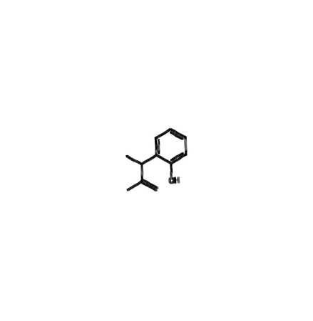 C=C(C)C(C)c1ccccc1O